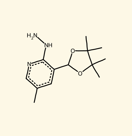 Cc1cnc(NN)c(C2OC(C)(C)C(C)(C)O2)c1